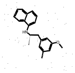 COc1cc(C)cc(C[C@H](C)Nc2cccc3ccccc23)c1